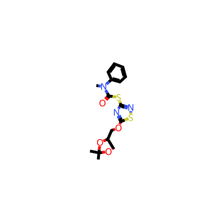 CN(C(=O)Sc1nsc(OCC2COC(C)(C)O2)n1)c1ccccc1